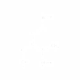 CCCCCCCCCCC(CO)C(C)CCCCCC